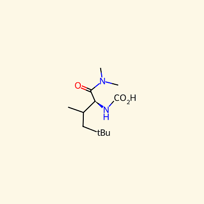 CC(CC(C)(C)C)[C@H](NC(=O)O)C(=O)N(C)C